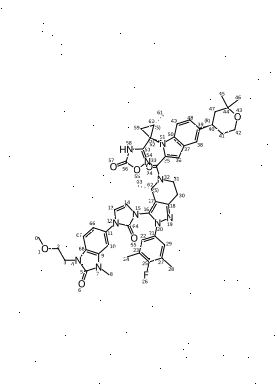 COCCn1c(=O)n(C)c2cc(-n3ccn(-c4c5c(nn4-c4cc(C)c(F)c(C)c4)CCN(C(=O)c4cc6cc([C@@H]7CCOC(C)(C)C7)ccc6n4[C@@]4(c6noc(=O)[nH]6)C[C@@H]4C)[C@H]5C)c3=O)ccc21